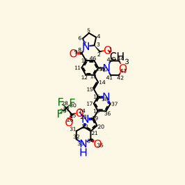 COC[C@@H]1CCCN1C(=O)c1ccc(C=Cc2cc(-c3cc4c(n3OC(=O)C(F)(F)F)CCNC4=O)ccn2)c(N2CCOCC2)c1